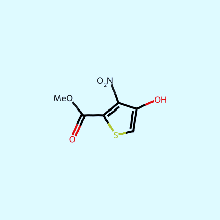 COC(=O)c1scc(O)c1[N+](=O)[O-]